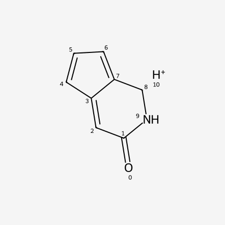 O=C1C=C2C=CC=C2CN1.[H+]